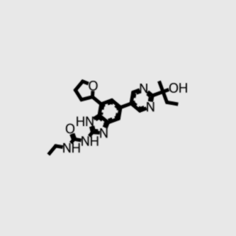 CCNC(=O)Nc1nc2cc(-c3cnc(C(C)(O)CC)nc3)cc(C3CCCO3)c2[nH]1